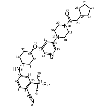 N#Cc1ccc(N[C@H]2CC[C@H](Oc3cncc(N4CCN(C(=O)CC5CCCC5)CC4)c3)CC2)cc1C(F)(F)F